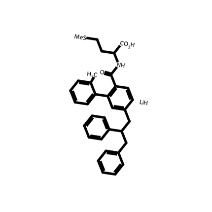 CSCCC(NC(=O)c1ccc(CC(Cc2ccccc2)c2ccccc2)cc1-c1ccccc1C)C(=O)O.[LiH]